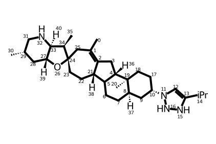 CC1=C2C[C@H]3C(CC[C@@H]4C[C@@H](N5C=C(C(C)C)NN5)CC[C@@]43C)[C@@H]2CC[C@@]2(C1)O[C@@H]1C[C@H](C)CN[C@H]1[C@H]2C